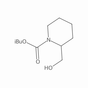 CC(C)COC(=O)N1CCCCC1CO